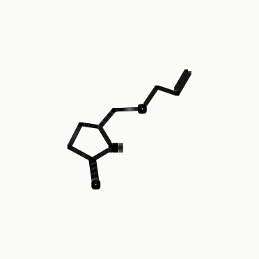 C=CCOCC1CCC(=O)N1